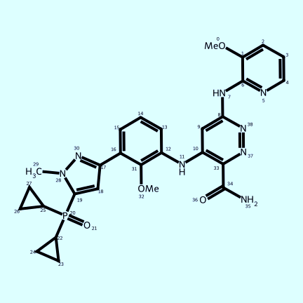 COc1cccnc1Nc1cc(Nc2cccc(-c3cc(P(=O)(C4CC4)C4CC4)n(C)n3)c2OC)c(C(N)=O)nn1